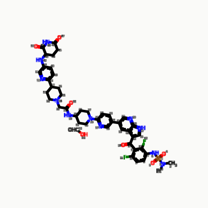 CCN(C)S(=O)(=O)Nc1ccc(F)c(C(=O)c2c[nH]c3ncc(-c4ccc(N5CCC(NC(=O)CN6CCC(c7ccc(NC8CCC(=O)NC8=O)cn7)CC6)CC5)nc4)cc23)c1F.O=CO